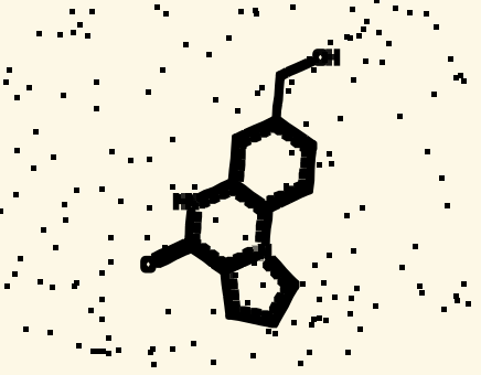 O=c1[nH]c2cc(CO)ccc2n2cccc12